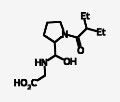 CCC(CC)C(=O)N1CCCC1C(O)NCC(=O)O